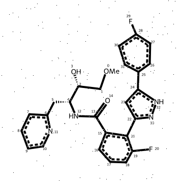 COC[C@@H](O)[C@@H](Cc1ccccn1)NC(=O)c1cccc(F)c1-c1cc(-c2ccc(F)cc2)[nH]n1